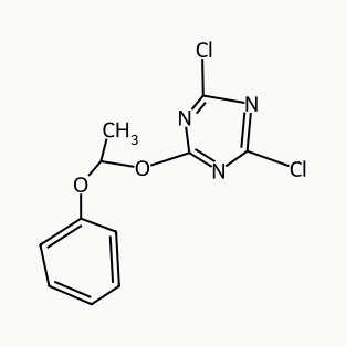 CC(Oc1ccccc1)Oc1nc(Cl)nc(Cl)n1